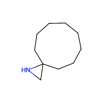 C1CCCCC2(CCC1)CN2